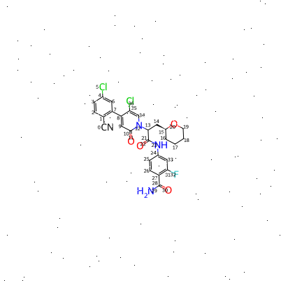 N#Cc1ccc(Cl)cc1-c1cc(=O)n(C(C[C@@H]2CCCCO2)C(=O)Nc2ccc(C(N)=O)c(F)c2)cc1Cl